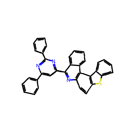 c1ccc(-c2cc(-c3nc4ccc5sc6ccccc6c5c4c4ccccc34)nc(-c3ccccc3)n2)cc1